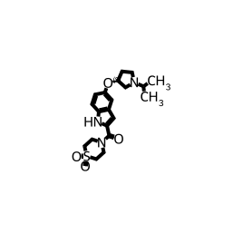 CC(C)N1CC[C@H](Oc2ccc3[nH]c(C(=O)N4CCS(=O)(=O)CC4)cc3c2)C1